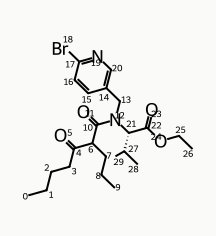 CCCCC(=O)C(CCC)C(=O)N(Cc1ccc(Br)nc1)[C@H](C(=O)OCC)C(C)C